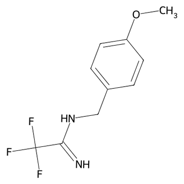 COc1ccc(CNC(=N)C(F)(F)F)cc1